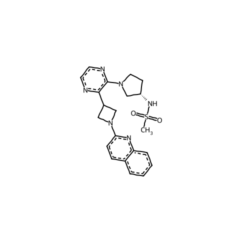 CS(=O)(=O)N[C@H]1CCN(c2nccnc2C2CN(c3ccc4ccccc4n3)C2)C1